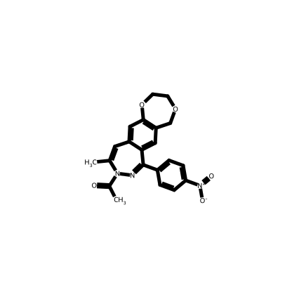 CC(=O)N1N=C(c2ccc([N+](=O)[O-])cc2)c2cc3c(cc2C=C1C)OCCOC3